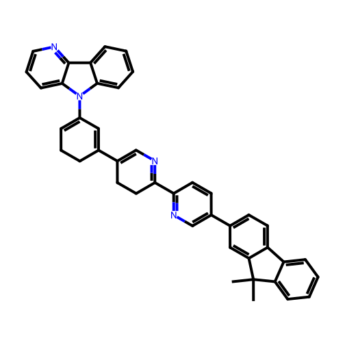 CC1(C)c2ccccc2-c2ccc(-c3ccc(C4=NC=C(C5=CC(n6c7ccccc7c7ncccc76)=CCC5)CC4)nc3)cc21